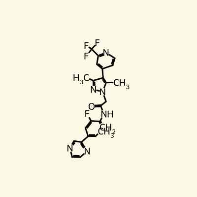 C=C(NC(=O)Cn1nc(C)c(-c2ccnc(C(F)(F)F)c2)c1C)/C(F)=C\C(=C/C)c1cnccn1